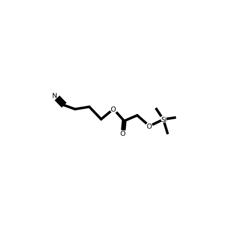 C[Si](C)(C)OCC(=O)OCCCC#N